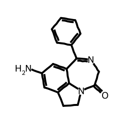 Nc1cc2c3c(c1)C(c1ccccc1)=NCC(=O)N3CC2